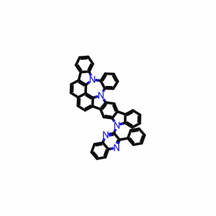 c1ccc(-c2nc3ccccc3nc2-n2c3ccccc3c3cc4c(cc32)c2ccc3ccc5c6ccccc6n6c7ccccc7n4c2c3c56)cc1